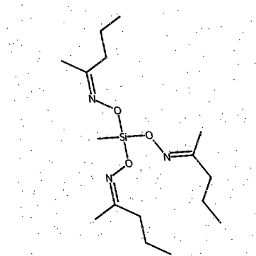 CCCC(C)=NO[Si](C)(ON=C(C)CCC)ON=C(C)CCC